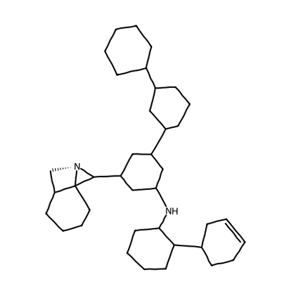 C1=CCC(C2CCCCC2NC2CC(C3CCCC(C4CCCCC4)C3)CC(C3[N@@]4CC5CCCCC534)C2)CC1